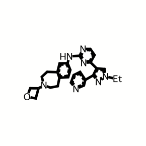 CCn1cc(-c2ccnc(Nc3ccc4c(c3)CCN(C3COC3)CC4)n2)c(-c2cccnc2)n1